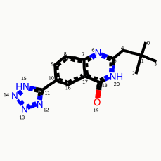 CC(C)(C)Cc1nc2ccc(-c3nnn[nH]3)cc2c(=O)[nH]1